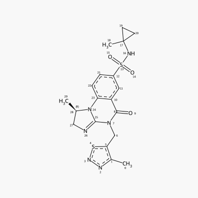 Cc1nnsc1CN1C(=O)c2cc(S(=O)(=O)NC3(C)CC3)ccc2N2C1=NC[C@H]2C